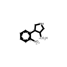 O=C(O)C1CNCC1c1ccccc1[N+](=O)[O-]